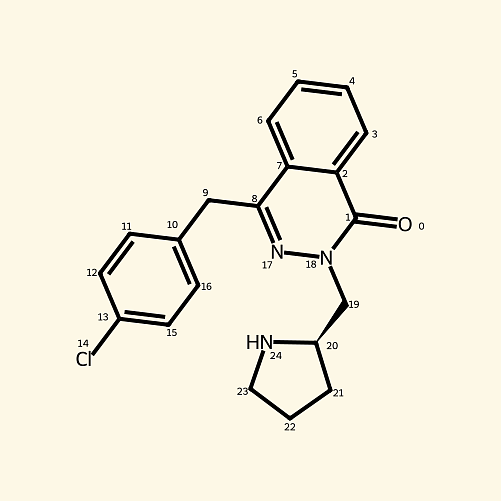 O=c1c2ccccc2c(Cc2ccc(Cl)cc2)nn1C[C@H]1CCCN1